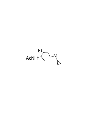 CCC(CCN(C)C1CC1)C(C)NC(C)=O